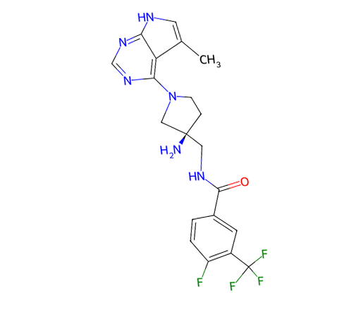 Cc1c[nH]c2ncnc(N3CC[C@](N)(CNC(=O)c4ccc(F)c(C(F)(F)F)c4)C3)c12